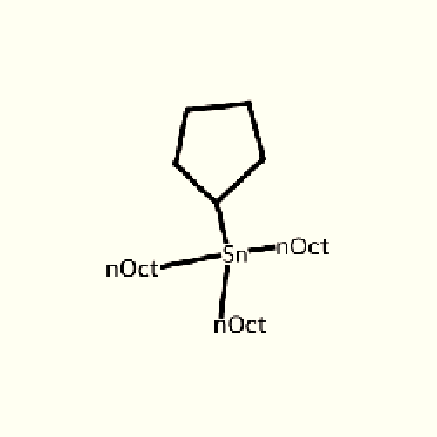 CCCCCCC[CH2][Sn]([CH2]CCCCCCC)([CH2]CCCCCCC)[CH]1CCCC1